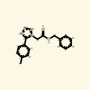 Cc1ccc(-c2nnnn2CC(=O)OCc2ccccc2)cc1